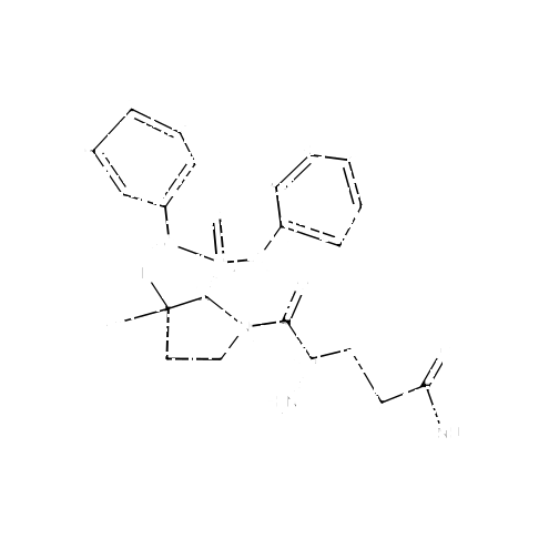 NC(=O)CC[C@H](N)C(=O)N1CCC(F)(F)[C@@H]1P(=O)(Oc1ccccc1)Oc1ccccc1